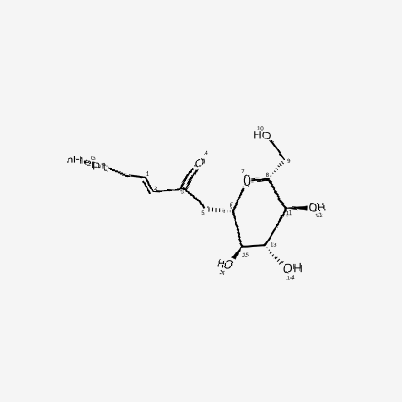 CCCCCCCC=CC(=O)C[C@@H]1O[C@H](CO)[C@@H](O)[C@H](O)[C@H]1O